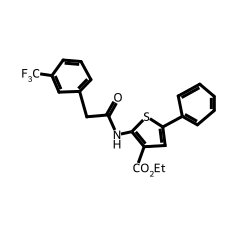 CCOC(=O)c1cc(-c2ccccc2)sc1NC(=O)Cc1cccc(C(F)(F)F)c1